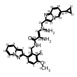 COc1ccc(-c2cc3ccccn3n2)c(CNC(=O)/C(N)=C/N(N)Cc2cn3cc(C4CC4)ccc3n2)c1F